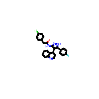 O=C(Cc1ccc(Cl)cc1)Nc1n[nH]c(-c2ccc(F)cc2)c1-c1ccnc2ccccc12